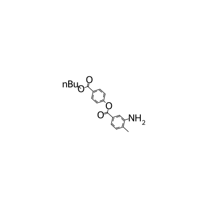 CCCCOC(=O)c1ccc(OC(=O)c2ccc(C)c(N)c2)cc1